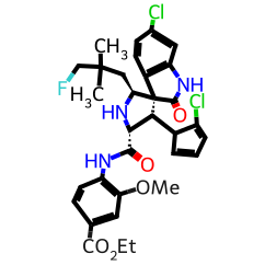 CCOC(=O)c1ccc(NC(=O)[C@@H]2N[C@@H](CC(C)(C)CF)[C@@]3(C(=O)Nc4cc(Cl)ccc43)C2C2C=CC=C2Cl)c(OC)c1